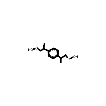 CC(COO)c1ccc(C(C)COO)cc1